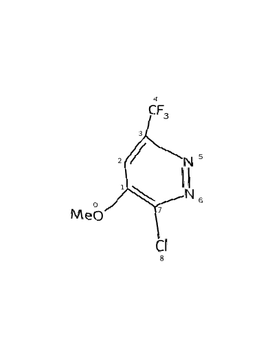 COc1cc(C(F)(F)F)nnc1Cl